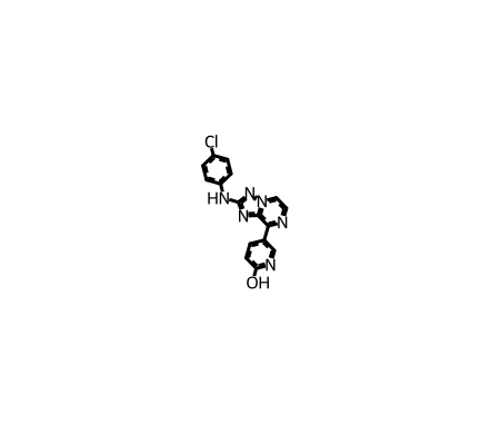 Oc1ccc(-c2nccn3nc(Nc4ccc(Cl)cc4)nc23)cn1